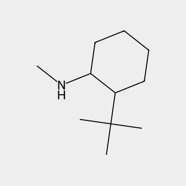 CNC1CCCCC1C(C)(C)C